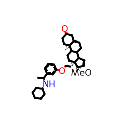 CO[C@H]1CCC2C3CCC4CC(=O)CC[C@]4(C)C3CC[C@@]21CCOc1cccc(C(C)NC2CCCCC2)c1